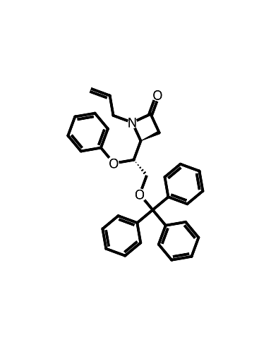 C=CCN1C(=O)C[C@H]1[C@H](COC(c1ccccc1)(c1ccccc1)c1ccccc1)Oc1ccccc1